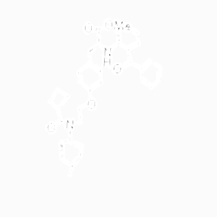 COC(=O)[C@H](Cc1ccc(OCCN(C(=O)C2CCC2)c2ccc(C)cc2)cc1)Nc1ccccc1C(=O)c1ccccc1